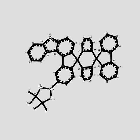 CC1(C)OB(c2ccc3c(c2)-c2c(ccc4oc5ccccc5c24)C32c3ccccc3C3(c4ccccc4-c4ccccc43)c3ccccc32)OC1(C)C